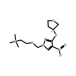 C[Si](C)(C)CCOCn1cc([N+](=O)[O-])c(O[C@H]2CCOC2)n1